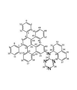 c1ccc(-c2cc(-c3ccccc3)c3c4ccccc4c4cc(N(c5ncncn5)c5cccc6ccccc56)ccc4c3c2-c2ccccc2)cc1